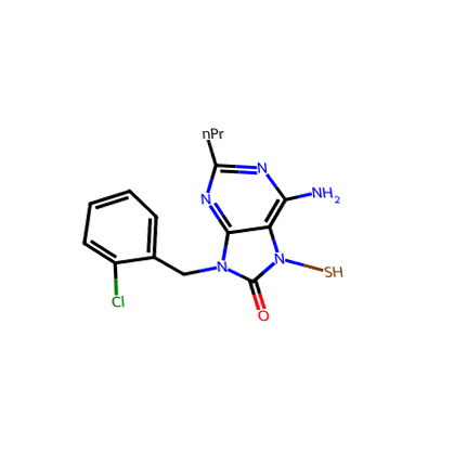 CCCc1nc(N)c2c(n1)n(Cc1ccccc1Cl)c(=O)n2S